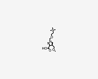 COCc1cn(COCC[Si](C)(C)C)nc1C(=O)O